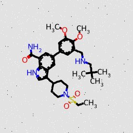 CCS(=O)(=O)N1CCC(c2c[nH]c3c(C(N)=O)cc(-c4cc(CNCC(C)(C)C)c(OC)c(OC)c4)cc23)CC1